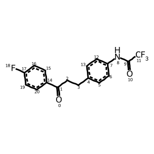 O=C(CCc1ccc(NC(=O)C(F)(F)F)cc1)c1ccc(F)cc1